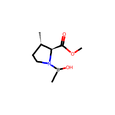 COC(=O)[C@@H]1[C@@H](C)CCN1B(C)O